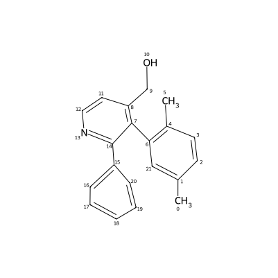 Cc1ccc(C)c(-c2c(CO)ccnc2-c2ccccc2)c1